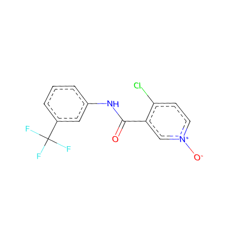 O=C(Nc1cccc(C(F)(F)F)c1)c1c[n+]([O-])ccc1Cl